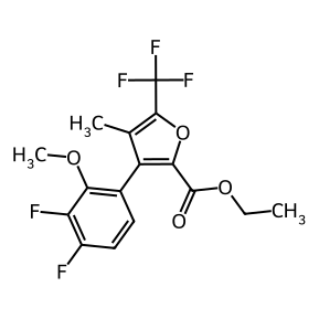 CCOC(=O)c1oc(C(F)(F)F)c(C)c1-c1ccc(F)c(F)c1OC